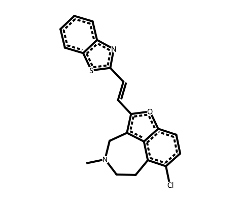 CN1CCc2c(Cl)ccc3oc(C=Cc4nc5ccccc5s4)c(c23)C1